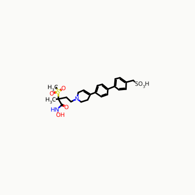 CC(CCN1CC=C(c2ccc(-c3ccc(CS(=O)(=O)O)cc3)cc2)CC1)(C(=O)NO)S(C)(=O)=O